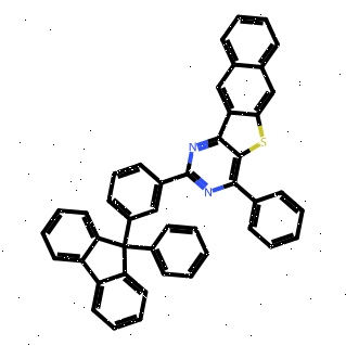 c1ccc(-c2nc(-c3cccc(C4(c5ccccc5)c5ccccc5-c5ccccc54)c3)nc3c2sc2cc4ccccc4cc23)cc1